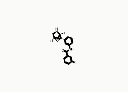 O=C(Nc1cccc([C@@H]2O[C@H]3CN[C@@H]2C3)c1)c1cccc(Cl)c1